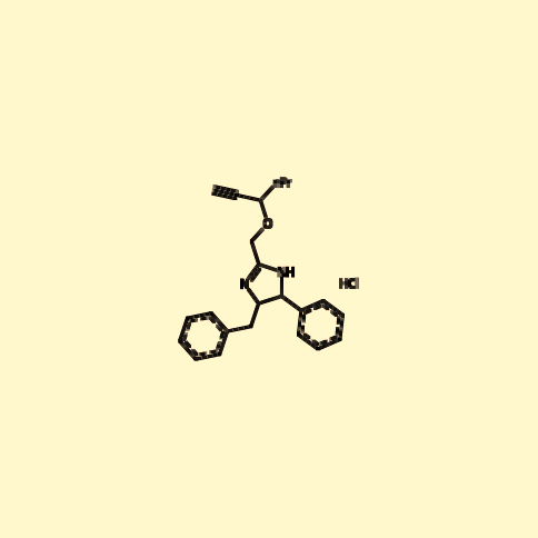 C#CC(CCC)OCC1=NC(Cc2ccccc2)C(c2ccccc2)N1.Cl